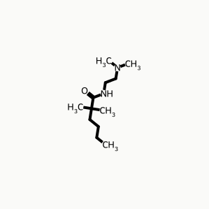 CCCCC(C)(C)C(=O)NCCN(C)C